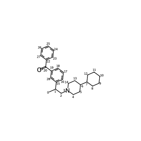 CC(CN1CCC(C2CCCCC2)CC1)c1cccc(C(=O)c2ccccc2)c1